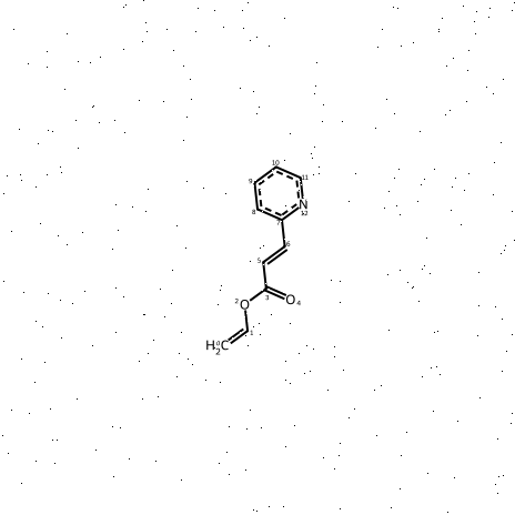 C=COC(=O)C=Cc1ccccn1